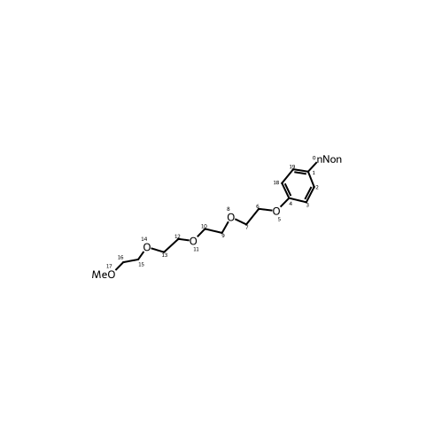 CCCCCCCCCc1ccc(OCCOCCOCCOCCOC)cc1